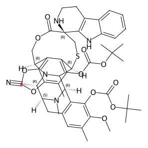 COc1c(C)cc2c(c1OC(=O)OC(C)(C)C)[C@@H]1C3[C@@H]4SC[C@]5(NCCc6c5[nH]c5ccccc65)C(=O)OC[C@@H](c5c6c(c(C)c(OC(=O)OC(C)(C)C)c54)OCO6)N3[C@@H](C#N)[C@H](C2)N1C